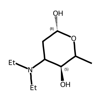 CCN(CC)C1C[C@H](O)OC(C)[C@H]1O